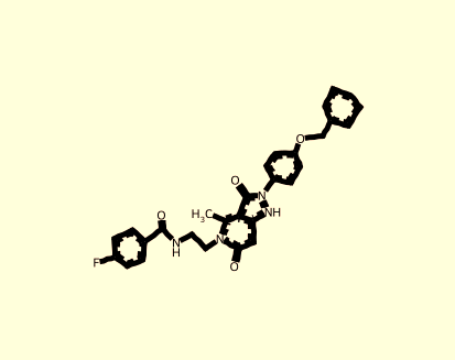 Cc1c2c(=O)n(-c3ccc(OCc4ccccc4)cc3)[nH]c2cc(=O)n1CCNC(=O)c1ccc(F)cc1